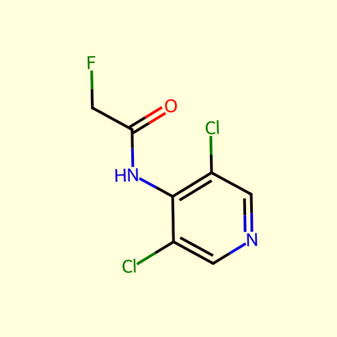 O=C(CF)Nc1c(Cl)cncc1Cl